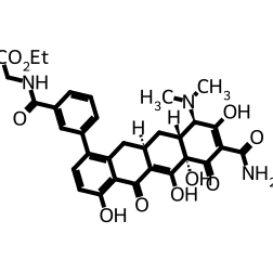 CCOC(=O)CNC(=O)c1cccc(-c2ccc(O)c3c2C[C@H]2C[C@@H]4[C@@H](N(C)C)C(O)=C(C(N)=O)C(=O)[C@@]4(O)C(O)=C2C3=O)c1